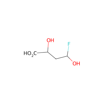 O=C(O)C(O)CC(O)F